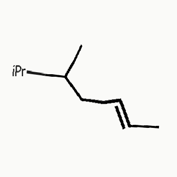 [CH2]C(C)C(C)C/C=C/C